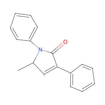 CC1[C]=C(c2ccccc2)C(=O)N1c1ccccc1